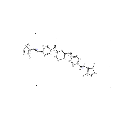 Cn1cc[n+](C)c1/N=N/c1ccc(NC2CCCC(Nc3ccc(/N=N/c4n(C)cc[n+]4C)cc3)C2)cc1